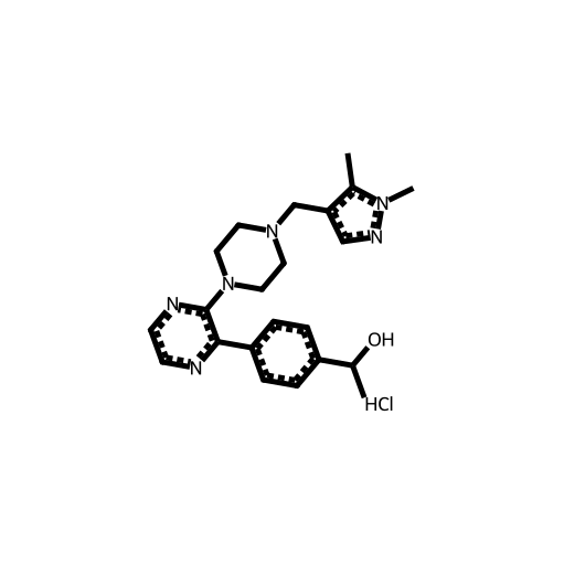 Cc1c(CN2CCN(c3nccnc3-c3ccc(C(C)O)cc3)CC2)cnn1C.Cl